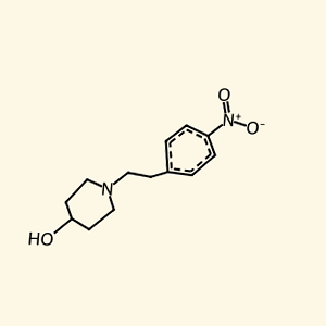 O=[N+]([O-])c1ccc(CCN2CCC(O)CC2)cc1